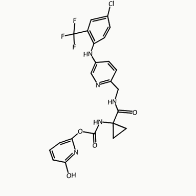 O=C(NC1(C(=O)NCc2ccc(Nc3ccc(Cl)cc3C(F)(F)F)cn2)CC1)Oc1cccc(O)n1